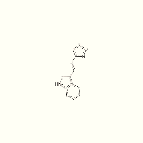 C(=Cc1c[nH]c2ccccc12)c1cnon1